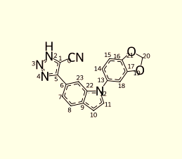 N#Cc1[nH]nnc1-c1ccc2ccn(-c3ccc4c(c3)OCO4)c2c1